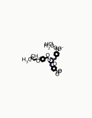 CN(C)CCOc1ccc(C(=O)N2C/C(=C/c3ccc([N+](=O)[O-])cc3)C(=O)/C(=C/c3ccc([N+](=O)[O-])cc3)C2)cc1.Cl.O